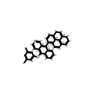 Cc1cc(C)cc(Oc2c3ccccc3c(-c3ccc4c5c6c(ccc35)C=CCC6=CC4)c3cnccc23)c1